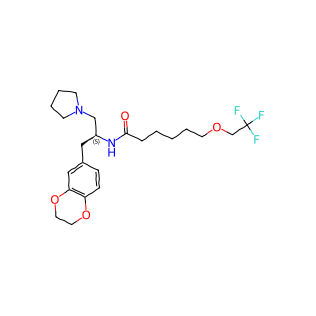 O=C(CCCCCOCC(F)(F)F)N[C@@H](Cc1ccc2c(c1)OCCO2)CN1CCCC1